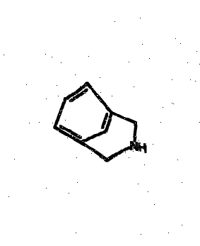 c1cc2cc(c1)CNC2